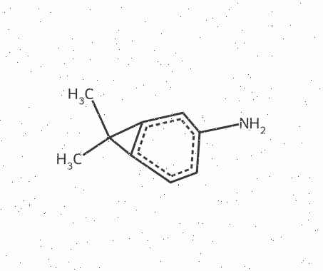 CC1(C)c2ccc(N)cc21